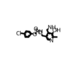 Cc1ncc(CO[PH](=O)Oc2ccc(Cl)cc2)c(CN)c1O